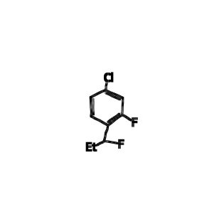 [CH2]CC(F)c1ccc(Cl)cc1F